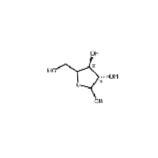 OCC1OC(O)[C@@H](O)[C@@H]1O